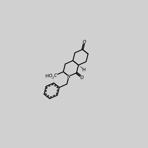 O=C1CC[C@H]2C(=O)N(Cc3ccccc3)C(C(=O)O)CC2C1